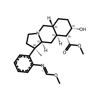 CO/C=N/c1ccccc1[C@@]1(C)CCN2C[C@@H]3CC[C@H](O)[C@H](C(=O)OC)[C@H]3C[C@H]21